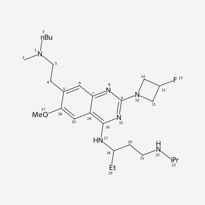 CCCCN(C)CCc1cc2nc(N3CC(F)C3)nc(NC(CC)CCNC(C)C)c2cc1OC